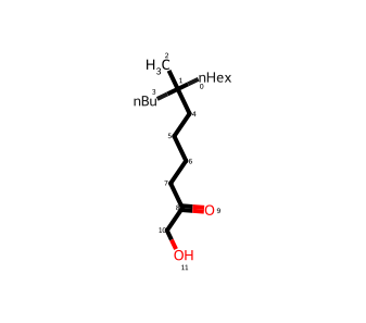 CCCCCCC(C)(CCCC)CCCCC(=O)CO